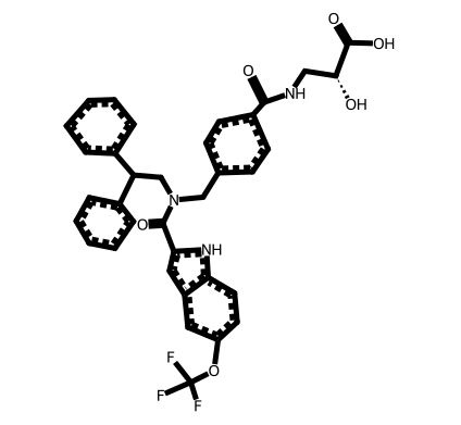 O=C(NC[C@@H](O)C(=O)O)c1ccc(CN(CC(c2ccccc2)c2ccccc2)C(=O)c2cc3cc(OC(F)(F)F)ccc3[nH]2)cc1